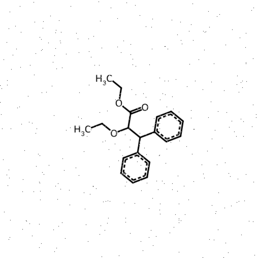 CCOC(=O)C(OCC)C(c1ccccc1)c1ccccc1